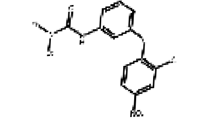 CCN(CC)C(=O)Nc1cccc(Oc2ccc([N+](=O)[O-])cc2Cl)c1